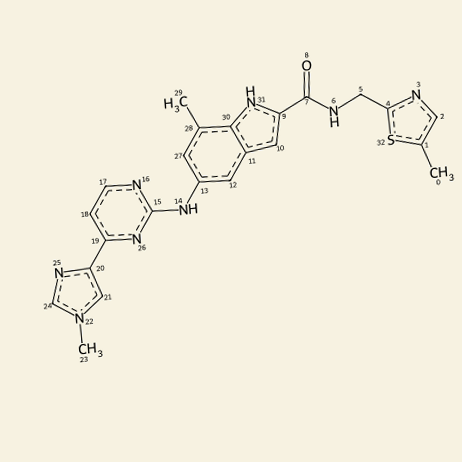 Cc1cnc(CNC(=O)c2cc3cc(Nc4nccc(-c5cn(C)cn5)n4)cc(C)c3[nH]2)s1